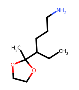 CCC(CCCN)C1(C)OCCO1